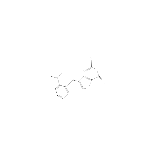 CC(C)c1ccccc1[C@H](C)c1c[nH]c2c(=O)[nH]c(N)nc12